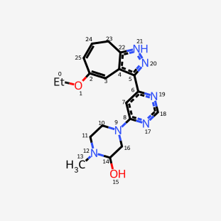 CCOC1=Cc2c(-c3cc(N4CCN(C)C(O)C4)ncn3)n[nH]c2CC=C1